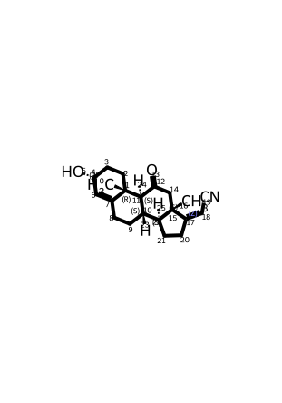 C[C@]12CC[C@@H](O)C=C1CC[C@@H]1[C@@H]2C(=O)C[C@]2(C)/C(=C\C#N)CC[C@@H]12